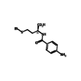 CCSCC[C@H](NC(=O)c1ccc(N)cc1)C(=O)O